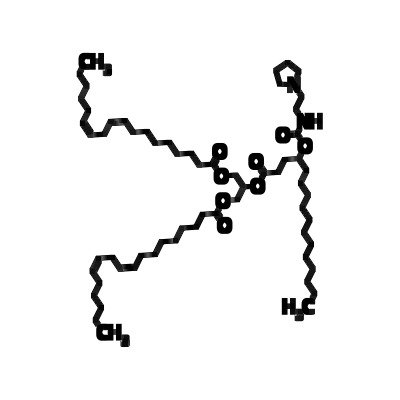 CCCCC/C=C\C/C=C\CCCCCCCC(=O)OCC(COC(=O)CCCCCCC/C=C\C/C=C\CCCCC)OC(=O)CCC(CCCCCCCCCCCC)OC(=O)NCCN1CCCC1